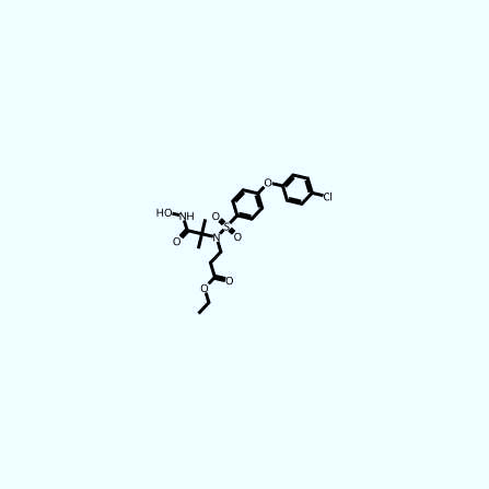 CCOC(=O)CCN(C(C)(C)C(=O)NO)S(=O)(=O)c1ccc(Oc2ccc(Cl)cc2)cc1